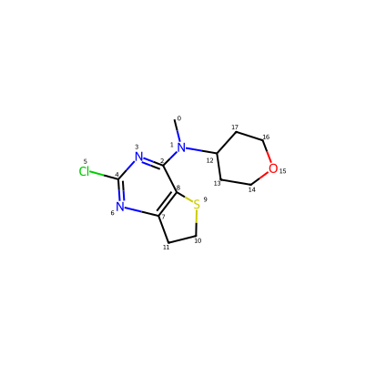 CN(c1nc(Cl)nc2c1SCC2)C1CCOCC1